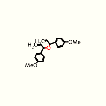 C=CC(OC(C=C)c1ccc(OC)cc1)c1ccc(OC)cc1